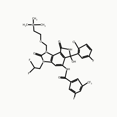 C[Si](C)(C)CCOCn1c(=O)n(CC(F)F)c2cc(NC(=O)c3cc(F)cc(C(F)(F)F)c3)c3c(c21)C(=O)NC3(O)c1cc(F)ccc1Cl